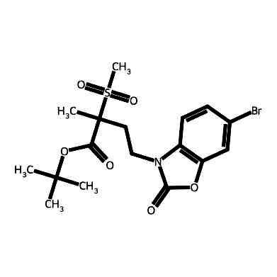 CC(C)(C)OC(=O)C(C)(CCn1c(=O)oc2cc(Br)ccc21)S(C)(=O)=O